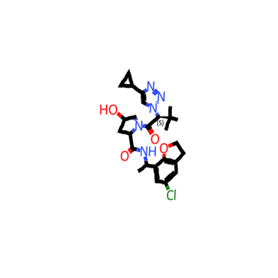 CC(NC(=O)C1CC(O)CN1C(=O)[C@@H](n1cc(C2CC2)nn1)C(C)(C)C)c1cc(Cl)cc2c1OCC2